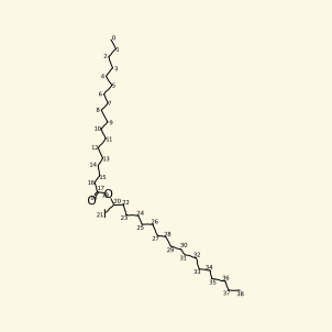 CCCCCCCCCCCCCCCCCC(=O)OC(I)CCCCCCCCCCCCCCCCC